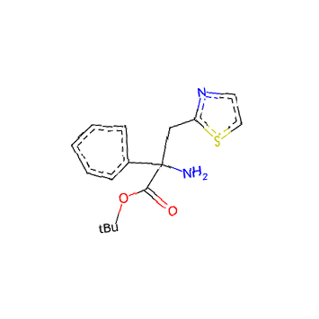 CC(C)(C)OC(=O)C(N)(Cc1nccs1)c1ccccc1